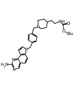 CC(C)(C)OC(=O)NCCC1CCN(Cc2ccc(Cn3ccc4c5nc(N)ncc5ccc43)cc2)CC1